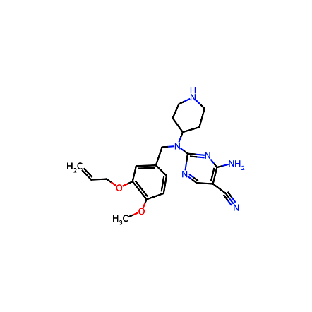 C=CCOc1cc(CN(c2ncc(C#N)c(N)n2)C2CCNCC2)ccc1OC